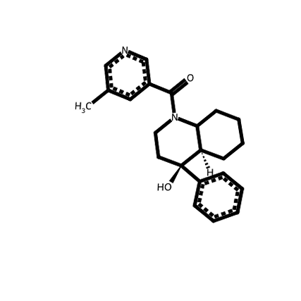 Cc1cncc(C(=O)N2CC[C@@](O)(c3ccccc3)[C@@H]3CCCCC32)c1